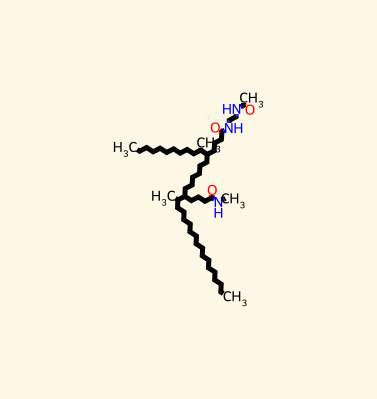 CCCCCCCCCCCCCCCCC(C)C(CCCCCCC(CCCC(=O)NCCNC(C)=O)C(C)CCCCCCCCCC)CCCC(=O)NC